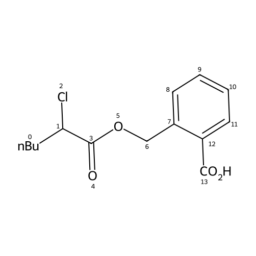 CCCCC(Cl)C(=O)OCc1ccccc1C(=O)O